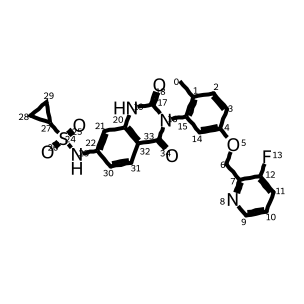 Cc1ccc(OCc2ncccc2F)cc1-n1c(=O)[nH]c2cc(NS(=O)(=O)C3CC3)ccc2c1=O